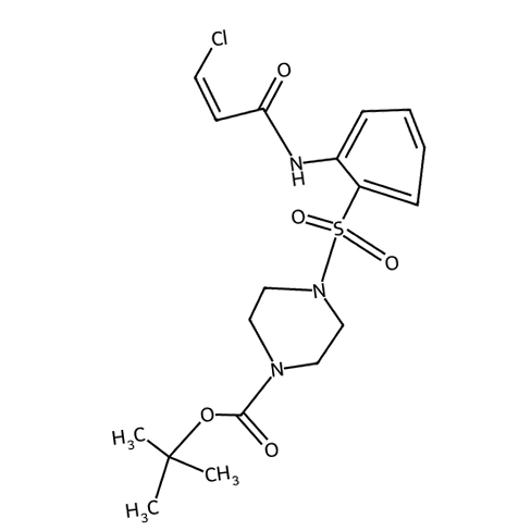 CC(C)(C)OC(=O)N1CCN(S(=O)(=O)c2ccccc2NC(=O)/C=C\Cl)CC1